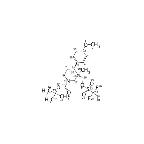 COc1ccc([C@@H]2CCN(C(=O)OC(C)(C)C)C[C@]2(C)COS(=O)(=O)C(F)(F)F)cc1